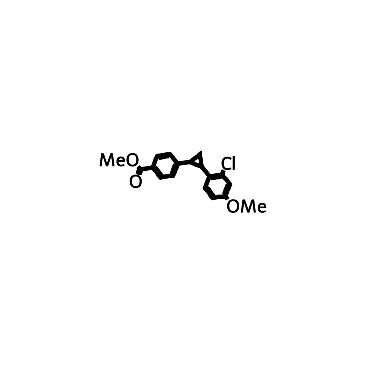 COC(=O)c1ccc(C2CC2c2ccc(OC)cc2Cl)cc1